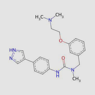 CN(C)CCOc1cccc(CN(C)C(=O)Nc2ccc(-c3cn[nH]c3)cc2)c1